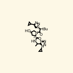 CC(NC(=O)[C@@H]1C[C@@H](O)CN1C(=O)[C@@H](n1cc(C2CC2)nn1)C(C)(C)C)c1nnnn1C1CC1